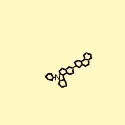 c1ccc(-n2c3ccccc3c3c4ccc(-c5ccc6c(ccc7ccccc76)c5)cc4ccc32)cc1